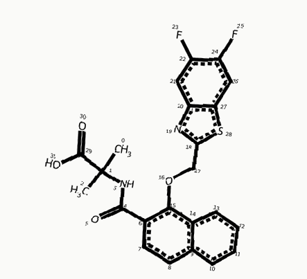 CC(C)(NC(=O)c1ccc2ccccc2c1OCc1nc2cc(F)c(F)cc2s1)C(=O)O